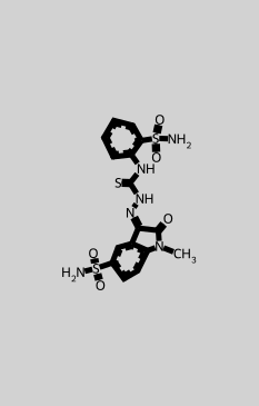 CN1C(=O)C(=NNC(=S)Nc2ccccc2S(N)(=O)=O)c2cc(S(N)(=O)=O)ccc21